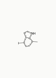 Cc1ccc(I)c2cc[nH]c12